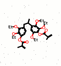 C=C(C)C(=O)Oc1ccc(CC(C)c2cc(OCC)c(OC(=O)C(=C)C)c(OCC)c2OCC)c(OCC)c1OCC